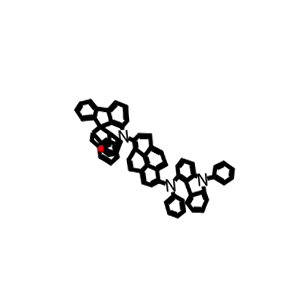 c1ccc(N(c2cccc3c2C2(c4ccccc4-3)C3CC4CC(C3)CC2C4)c2ccc3ccc4c(N(c5ccccc5)c5cccc6c5c5ccccc5n6-c5ccccc5)ccc5ccc2c3c54)cc1